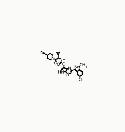 Cn1nc(-c2cnc3[nH]cc(OC(=O)N[C@@H](C(=O)N4CCC(C#N)CC4)C4CC4)c3n2)c2cc(Cl)ccc21